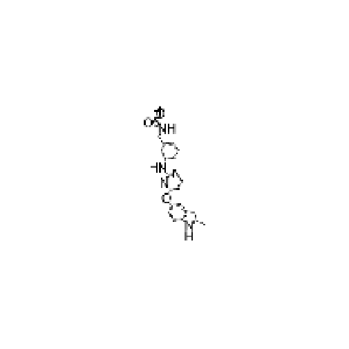 Cc1cc2cc(Oc3ccnc(Nc4cccc(CN[SH](=O)=O)c4)n3)ccc2[nH]1